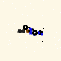 COc1cccc(CN(Cc2cccc(-n3ccnc3)c2)C(N)=S)c1